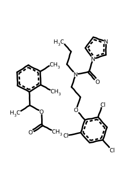 CC(=O)OC(C)c1cccc(C)c1C.CCCN(CCOc1c(Cl)cc(Cl)cc1Cl)C(=O)n1ccnc1